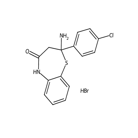 Br.NC1(c2ccc(Cl)cc2)CC(=O)Nc2ccccc2S1